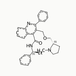 CC[C@H](NC(=O)c1c(COC[C@@H]2CCCN2C)c(-c2ccccc2)nc2ccccc12)c1ccccc1